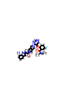 CCN(C(=O)c1cc(F)ccc1Oc1cncnc1N1CC2=C(CN(C(=O)[C@@](C)(N)Cc3ccccc3)C2)C1)C(C)C